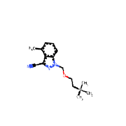 Cc1cccc2c1c(C#N)nn2COCC[Si](C)(C)C